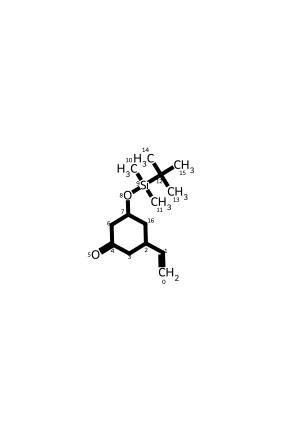 C=CC1CC(=O)CC(O[Si](C)(C)C(C)(C)C)C1